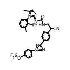 Cc1cccc(-n2c(C)cs/c2=N\C(=O)NCC(C#N)c2ccc(-c3ncn(-c4ccc(OC(F)(F)F)cc4)n3)cc2)c1C(C)C